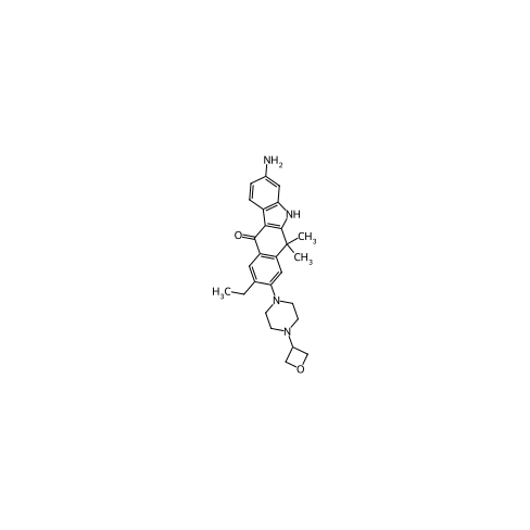 CCc1cc2c(cc1N1CCN(C3COC3)CC1)C(C)(C)c1[nH]c3cc(N)ccc3c1C2=O